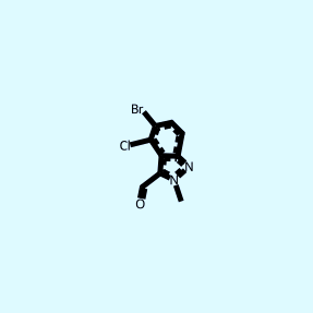 Cn1nc2ccc(Br)c(Cl)c2c1C=O